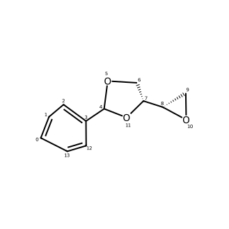 c1ccc(C2OC[C@H]([C@@H]3CO3)O2)cc1